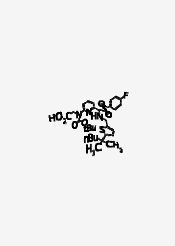 CCCCC(C)(C)c1ccc(CNC(c2cccc(N(CC(=O)O)C(=O)OC(C)(C)C)n2)S(=O)(=O)c2ccc(F)cc2)s1